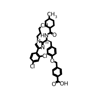 CCCCn1cc(-c2ccc(Cl)cc2Cl)nc1[C@H](Cc1ccc(OCc2ccc(C(=O)O)cc2)cc1)NC(=O)C1CCC(C)CC1